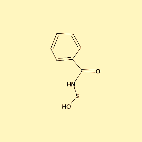 O=C(NSO)c1ccccc1